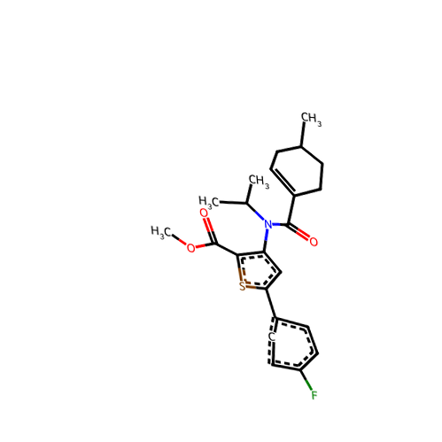 COC(=O)c1sc(-c2ccc(F)cc2)cc1N(C(=O)C1=CCC(C)CC1)C(C)C